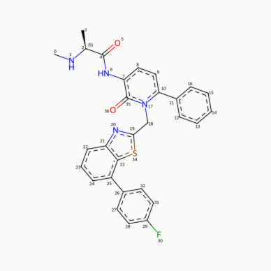 CN[C@@H](C)C(=O)Nc1ccc(-c2ccccc2)n(Cc2nc3cccc(-c4ccc(F)cc4)c3s2)c1=O